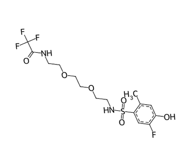 Cc1cc(O)c(F)cc1S(=O)(=O)NCCOCCOCCNC(=O)C(F)(F)F